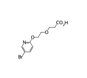 O=C(O)CCOCCOc1ccc(Br)cn1